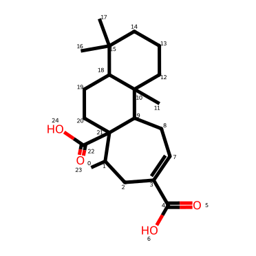 CC1CC(C(=O)O)=CCC2C3(C)CCCC(C)(C)C3CCC12C(=O)O